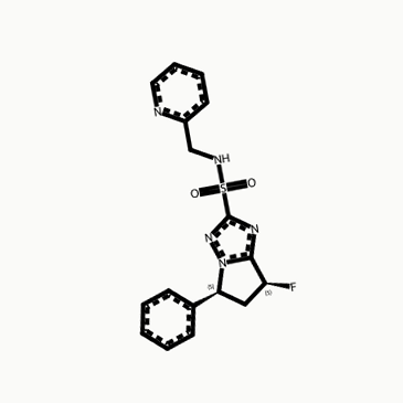 O=S(=O)(NCc1ccccn1)c1nc2n(n1)[C@H](c1ccccc1)C[C@@H]2F